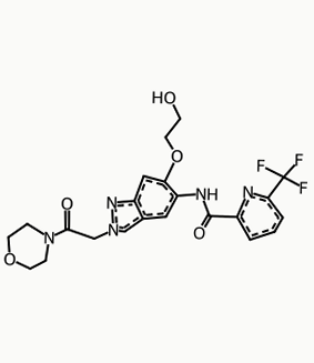 O=C(Nc1cc2cn(CC(=O)N3CCOCC3)nc2cc1OCCO)c1cccc(C(F)(F)F)n1